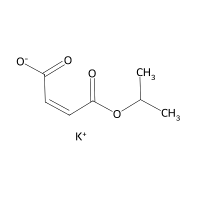 CC(C)OC(=O)/C=C\C(=O)[O-].[K+]